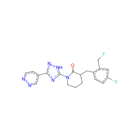 O=C1C(Cc2ccc(F)cc2CF)CCCN1c1nc(-c2ccnnc2)n[nH]1